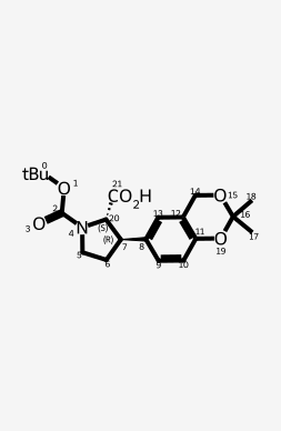 CC(C)(C)OC(=O)N1CC[C@H](c2ccc3c(c2)COC(C)(C)O3)[C@H]1C(=O)O